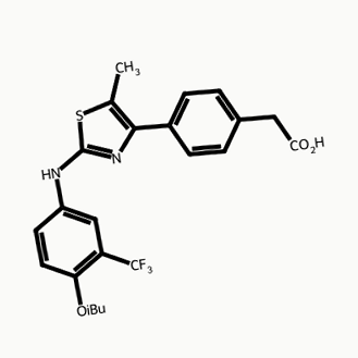 Cc1sc(Nc2ccc(OCC(C)C)c(C(F)(F)F)c2)nc1-c1ccc(CC(=O)O)cc1